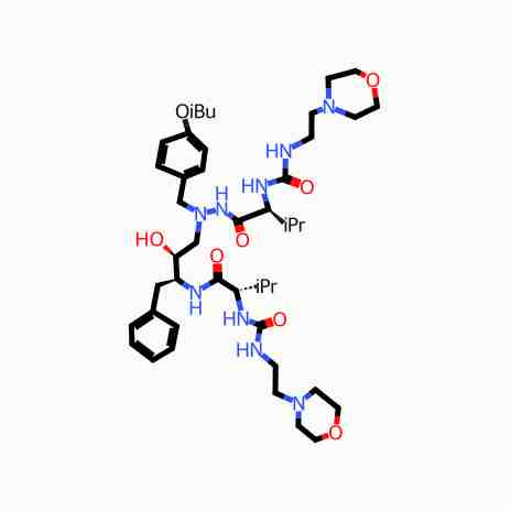 CC(C)COc1ccc(CN(C[C@H](O)[C@H](Cc2ccccc2)NC(=O)[C@@H](NC(=O)NCCN2CCOCC2)C(C)C)NC(=O)[C@@H](NC(=O)NCCN2CCOCC2)C(C)C)cc1